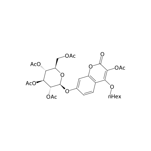 CCCCCCOc1c(OC(C)=O)c(=O)oc2cc(O[C@@H]3O[C@H](COC(C)=O)[C@@H](OC(C)=O)[C@H](OC(C)=O)[C@H]3OC(C)=O)ccc12